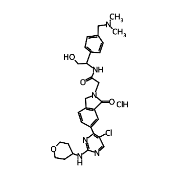 CN(C)Cc1ccc(C(CO)NC(=O)CN2Cc3ccc(-c4nc(NC5CCOCC5)ncc4Cl)cc3C2=O)cc1.Cl